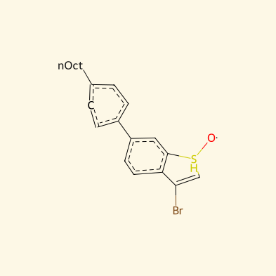 CCCCCCCCc1ccc(-c2ccc3c(c2)[SH]([O])C=C3Br)cc1